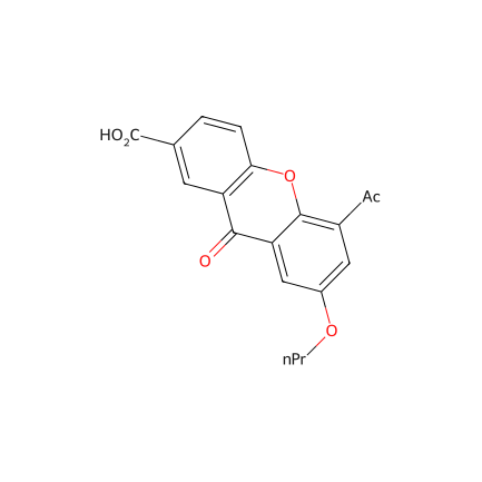 CCCOc1cc(C(C)=O)c2oc3ccc(C(=O)O)cc3c(=O)c2c1